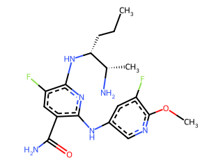 CCC[C@@H](Nc1nc(Nc2cnc(OC)c(F)c2)c(C(N)=O)cc1F)[C@H](C)N